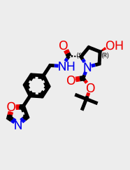 CC(C)(C)OC(=O)N1C[C@H](O)C[C@H]1C(=O)NCc1ccc(-c2cnco2)cc1